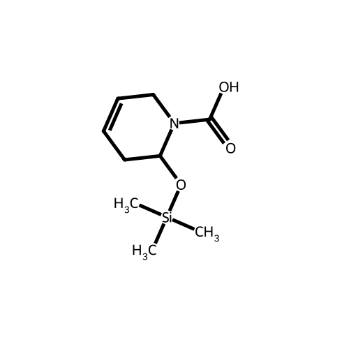 C[Si](C)(C)OC1CC=CCN1C(=O)O